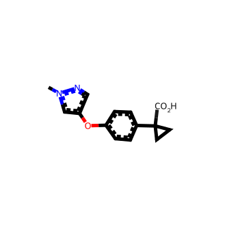 Cn1cc(Oc2ccc(C3(C(=O)O)CC3)cc2)cn1